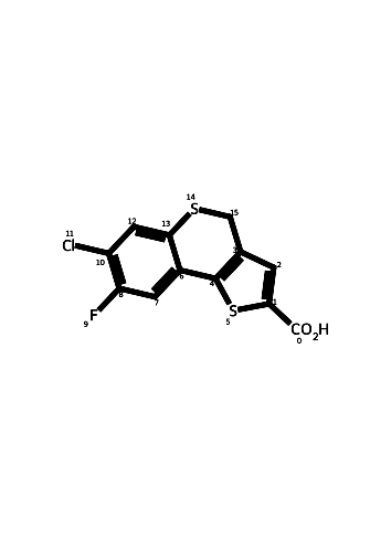 O=C(O)c1cc2c(s1)-c1cc(F)c(Cl)cc1SC2